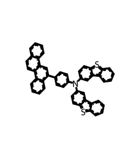 c1ccc2c(c1)ccc1c3ccccc3c(-c3ccc(N(c4ccc5sc6ccccc6c5c4)c4ccc5sc6ccccc6c5c4)cc3)cc21